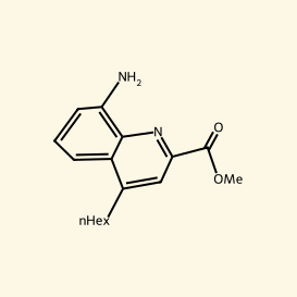 CCCCCCc1cc(C(=O)OC)nc2c(N)cccc12